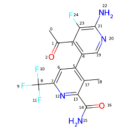 CC(=O)c1c(-c2cc(C(F)(F)F)nc(C(N)=O)c2C)cnc(N)c1F